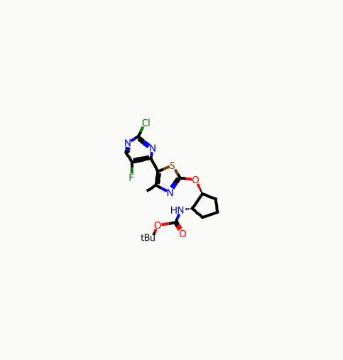 Cc1nc(O[C@H]2CCC[C@@H]2NC(=O)OC(C)(C)C)sc1-c1nc(Cl)ncc1F